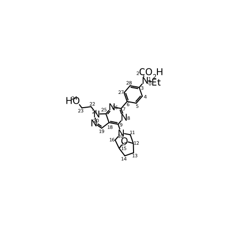 CCN(C(=O)O)c1ccc(-c2nc(N3CC4CCC(C3)O4)c3cnn(CCO)c3n2)cc1